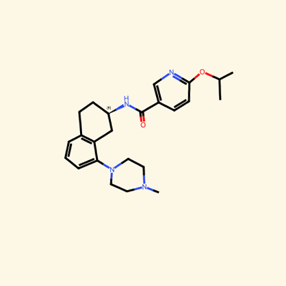 CC(C)Oc1ccc(C(=O)N[C@@H]2CCc3cccc(N4CCN(C)CC4)c3C2)cn1